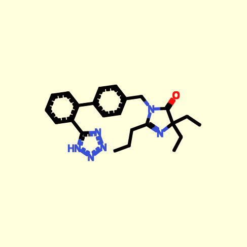 CCCC1=NC(CC)(CC)C(=O)N1Cc1ccc(-c2ccccc2-c2nnn[nH]2)cc1